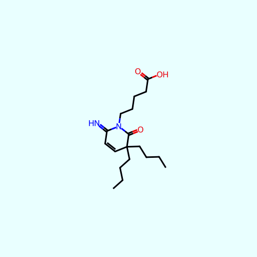 CCCCC1(CCCC)C=CC(=N)N(CCCCC(=O)O)C1=O